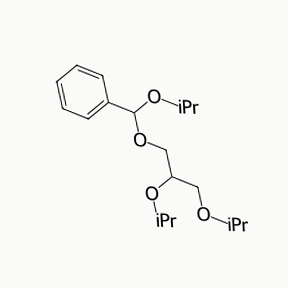 CC(C)OCC(COC(OC(C)C)c1ccccc1)OC(C)C